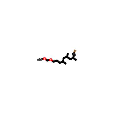 CCCCOCOCCCC(C)CC(C)C[CH](C)[Mg][Br]